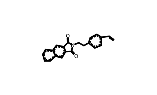 C=Cc1ccc(CCN2C(=O)c3cc4ccccc4cc3C2=O)cc1